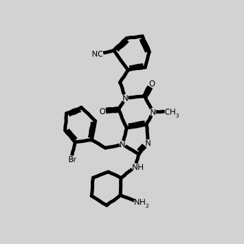 Cn1c(=O)n(Cc2ccccc2C#N)c(=O)c2c1nc(NC1CCCCC1N)n2Cc1ccccc1Br